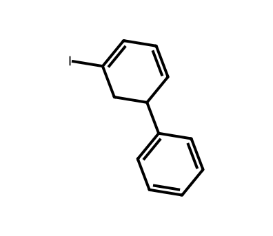 IC1=CC=CC(c2ccccc2)C1